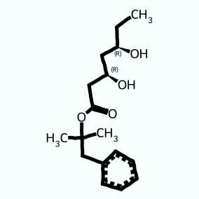 CC[C@@H](O)C[C@@H](O)CC(=O)OC(C)(C)Cc1ccccc1